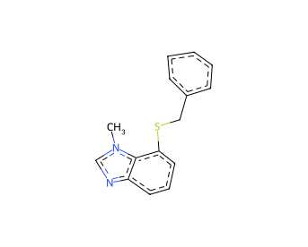 Cn1cnc2cccc(SCc3ccccc3)c21